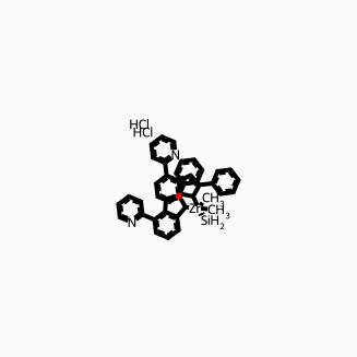 Cl.Cl.[CH3][Zr]([CH3])(=[SiH2])([CH]1C(c2ccccc2)=Cc2c(-c3ccccn3)cccc21)[CH]1C(c2ccccc2)=Cc2c(-c3ccccn3)cccc21